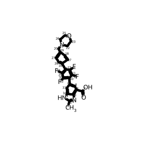 Cc1nc2c(C(=O)O)cc(-c3c(F)c(F)c(-c4ccc(CN5CCOCC5)cc4)c(F)c3F)cc2[nH]1